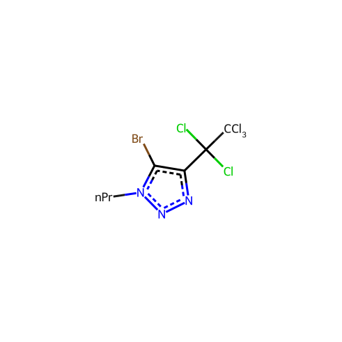 CCCn1nnc(C(Cl)(Cl)C(Cl)(Cl)Cl)c1Br